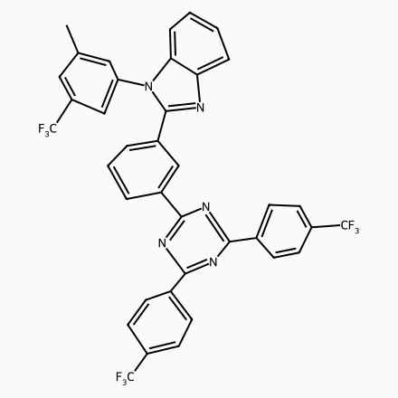 Cc1cc(-n2c(-c3cccc(-c4nc(-c5ccc(C(F)(F)F)cc5)nc(-c5ccc(C(F)(F)F)cc5)n4)c3)nc3ccccc32)cc(C(F)(F)F)c1